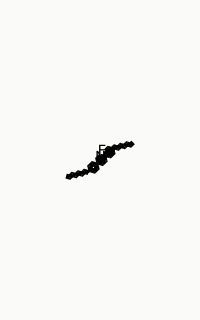 CCCCCCCC[C@H]1CC[C@H](c2ccc(-c3ccc(CCCCCCC)cc3F)nc2)CC1